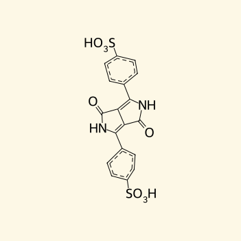 O=C1NC(c2ccc(S(=O)(=O)O)cc2)=C2C(=O)NC(c3ccc(S(=O)(=O)O)cc3)=C12